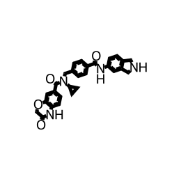 O=C1COc2cc(C(=O)N(Cc3ccc(C(=O)Nc4ccc5c(c4)CNC5)cc3)C3CC3)ccc2N1